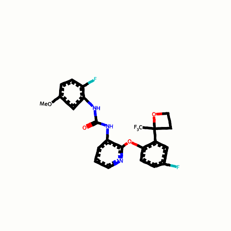 COc1ccc(F)c(NC(=O)Nc2cccnc2Oc2ccc(F)cc2C2(C(F)(F)F)CCO2)c1